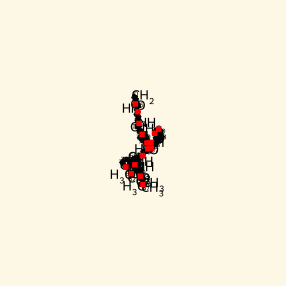 C=CCOC(=O)NCCCCC(N)C(=O)NCC1CCC(C(=O)NC(Cc2ccc3ccccc3c2)C(=O)NCCCCC(NC(=O)NC(CCC(=O)OC(C)(C)C)C(=O)OC(C)(C)C)C(=O)OC2CCCCCC2)CC1